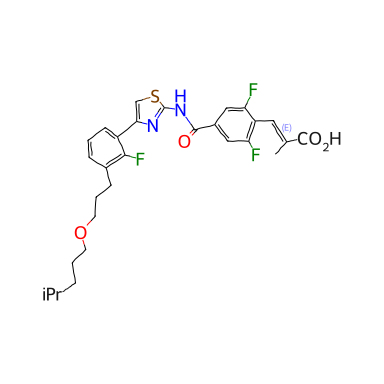 C/C(=C\c1c(F)cc(C(=O)Nc2nc(-c3cccc(CCCOCCCC(C)C)c3F)cs2)cc1F)C(=O)O